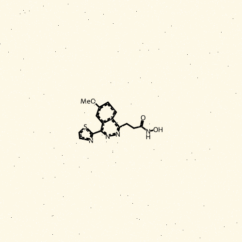 COc1ccc2c(CCC(=O)NO)nnc(-c3nccs3)c2c1